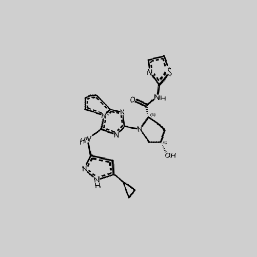 O=C(Nc1nccs1)[C@@H]1C[C@H](O)CN1c1nc(Nc2cc(C3CC3)[nH]n2)n2cccc2n1